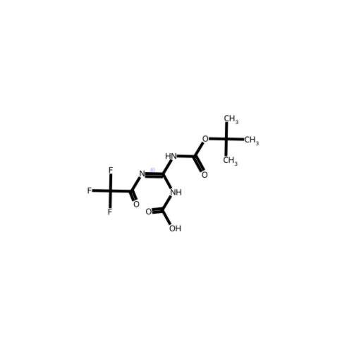 CC(C)(C)OC(=O)N/C(=N/C(=O)C(F)(F)F)NC(=O)O